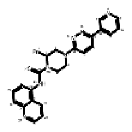 CC(C)C1CN(c2ccc(-c3cccnc3)nn2)CCN1C(=S)Nc1cccc2ncccc12